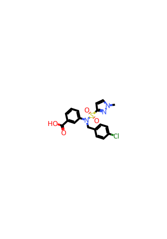 Cn1ccc(S(=O)(=O)N(Cc2ccc(Cl)cc2)c2cccc(C(=O)O)c2)n1